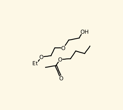 CCCCOC(C)=O.CCOCCOCCO